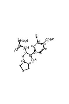 CCCCCCCC(=O)N[C@H](CN1CCCC1)[C@H](O)c1ccc(OC)c(F)c1